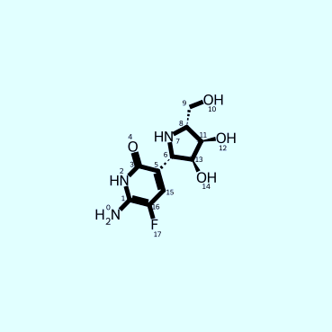 Nc1[nH]c(=O)c([C@@H]2N[C@H](CO)[C@@H](O)[C@H]2O)cc1F